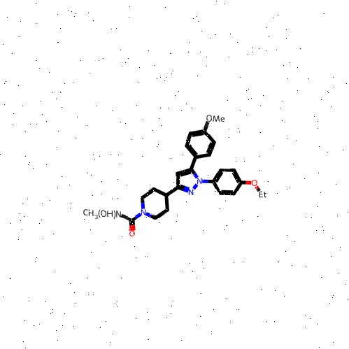 CCOc1ccc(-n2nc(C3CCN(C(=O)N(C)O)CC3)cc2-c2ccc(OC)cc2)cc1